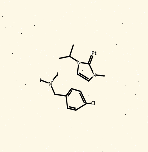 CC(C)n1ccn(C)[c]1=[Pt].Clc1ccc(CN(I)I)cc1